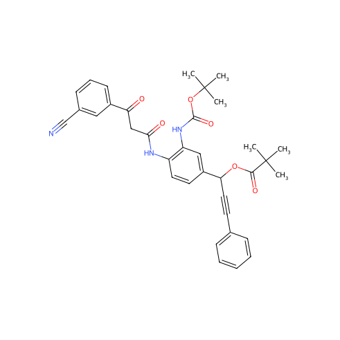 CC(C)(C)OC(=O)Nc1cc(C(C#Cc2ccccc2)OC(=O)C(C)(C)C)ccc1NC(=O)CC(=O)c1cccc(C#N)c1